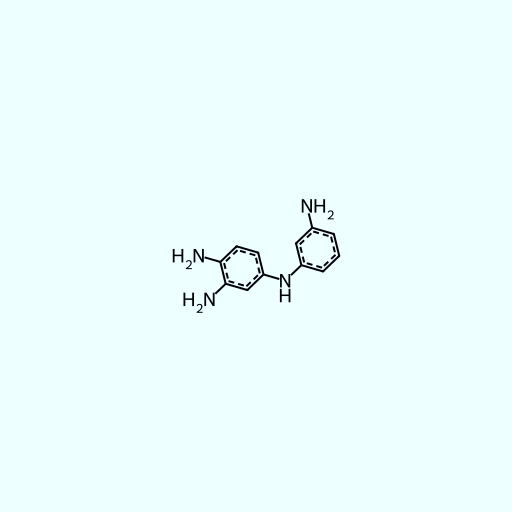 Nc1cccc(Nc2ccc(N)c(N)c2)c1